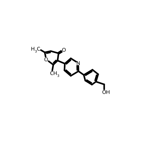 Cc1cc(=O)c(-c2ccc(-c3ccc(CO)cc3)nc2)c(C)o1